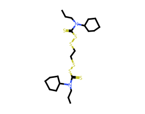 CCCN(C(=S)SSCCSSC(=S)N(CCC)C1CCCCC1)C1CCCCC1